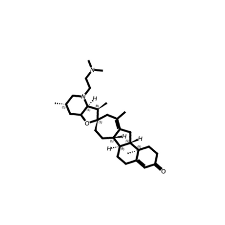 CC1=C2C[C@H]3[C@@H](CCC4=CC(=O)CC[C@@]43C)[C@@H]2CC[C@@]2(C1)OC1C[C@H](C)CN(CCN(C)C)[C@H]1[C@H]2C